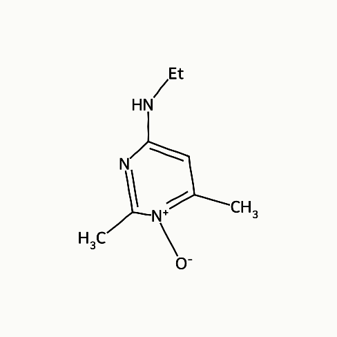 CCNc1cc(C)[n+]([O-])c(C)n1